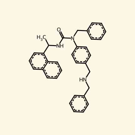 CC(NC(=O)N(Cc1ccccc1)c1ccc(CNCc2ccccc2)cc1)c1cccc2ccccc12